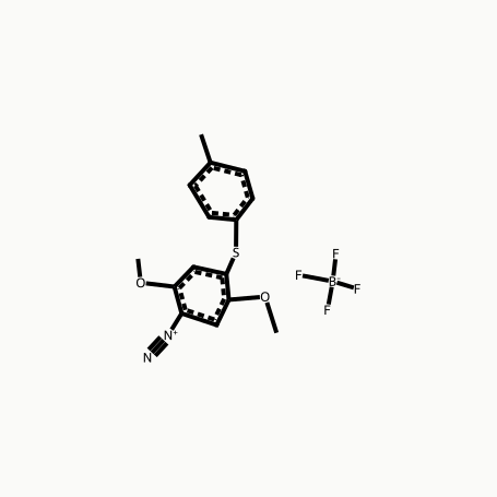 COc1cc(Sc2ccc(C)cc2)c(OC)cc1[N+]#N.F[B-](F)(F)F